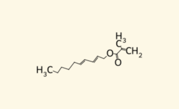 C=C(C)C(=O)OCC=CC=CCCCCC